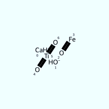 [CaH+].[OH-].[O]=[Fe].[O]=[Ti]=[O]